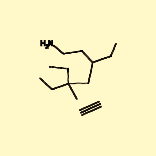 C#C.CCC(CCN)CC(C)(CC)CC